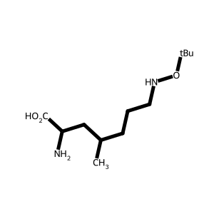 CC(CCCNOC(C)(C)C)CC(N)C(=O)O